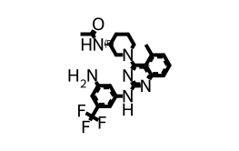 CC(=O)N[C@@H]1CCCN(c2nc(Nc3cc(N)cc(C(F)(F)F)c3)nc3cccc(C)c23)C1